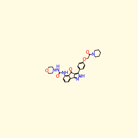 O=C(Nc1cccc2c1C(=O)c1c-2n[nH]c1-c1ccc(OCC(=O)N2CCCCC2)cc1)NN1CCOCC1